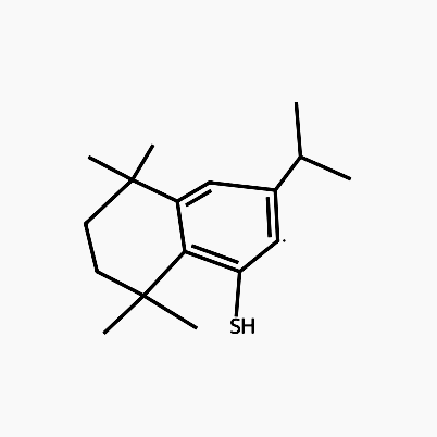 CC(C)c1[c]c(S)c2c(c1)C(C)(C)CCC2(C)C